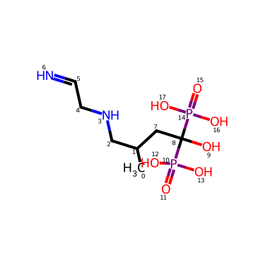 CC(CNCC=N)CC(O)(P(=O)(O)O)P(=O)(O)O